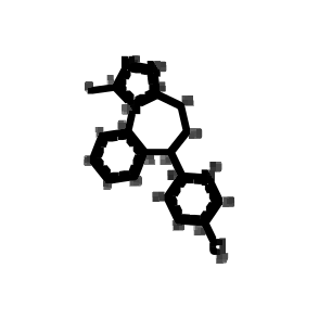 Cc1nnc2n1-c1ccccc1C(c1ccc(Cl)cn1)CC2